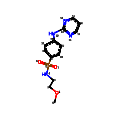 COCCNS(=O)(=O)c1ccc(Nc2ncccn2)cc1